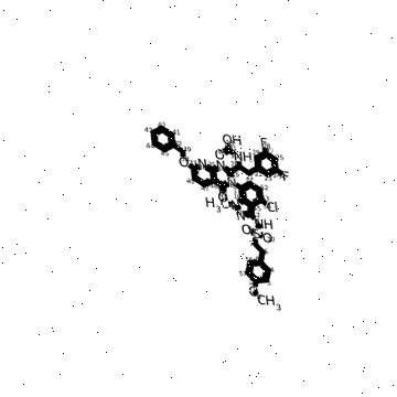 COc1ccc(CCS(=O)(=O)Nc2nn(C)c3c(-n4c(C(Cc5cc(F)cc(F)c5)NC(=O)O)nc5nc(OCc6ccccc6)ccc5c4=O)ccc(Cl)c23)cc1